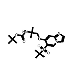 CC(C)(COc1cc2nccn2cc1S(=O)(=O)C(C)(C)C)NC(=O)OC(C)(C)C